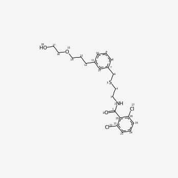 O=C(NCCSCc1cccc(CCCOCCO)c1)c1c(Cl)cccc1Cl